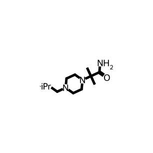 C[C](C)CN1CCN(C(C)(C)C(N)=O)CC1